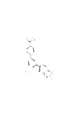 COc1ccc(-c2ccc(C(N)=O)cc2)cc1-c1ccc2nonc2c1